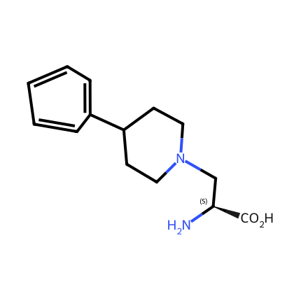 N[C@@H](CN1CCC(c2ccccc2)CC1)C(=O)O